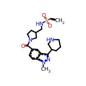 C=CS(=O)(=O)NCC1CCN(C(=O)c2ccc3c(c2)c(C2CCCNC2)nn3C)C1